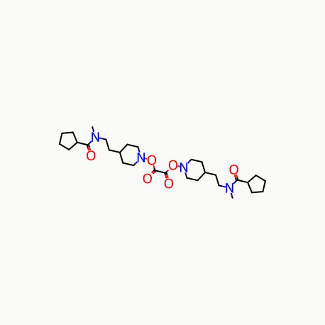 CN(CCC1CCN(OC(=O)C(=O)ON2CCC(CCN(C)C(=O)C3CCCC3)CC2)CC1)C(=O)C1CCCC1